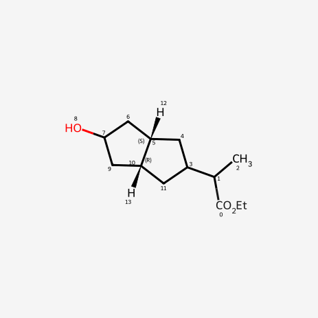 CCOC(=O)C(C)C1C[C@H]2CC(O)C[C@H]2C1